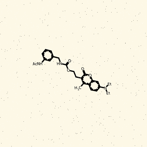 CCN(CC)c1ccc2c(C)c(CCOC(=O)NCc3cccc(NC(C)=O)c3)c(=O)oc2c1